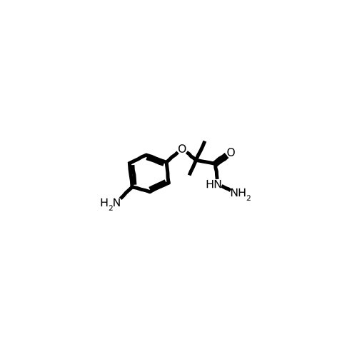 CC(C)(Oc1ccc(N)cc1)C(=O)NN